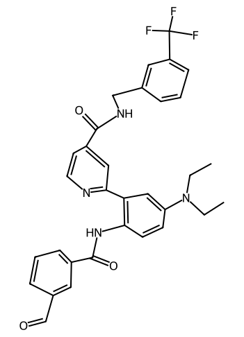 CCN(CC)c1ccc(NC(=O)c2cccc(C=O)c2)c(-c2cc(C(=O)NCc3cccc(C(F)(F)F)c3)ccn2)c1